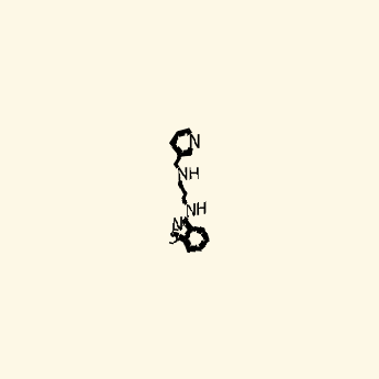 c1cncc(CNCCCNc2nsc3ccccc23)c1